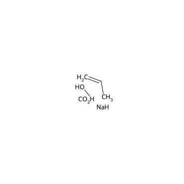 C=CC.O=C(O)O.[NaH]